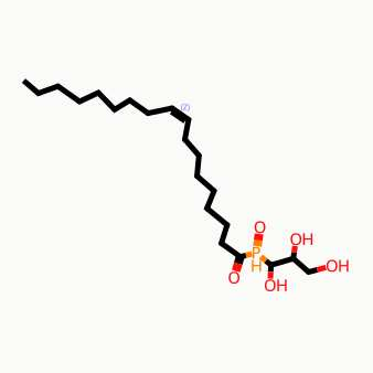 CCCCCCCC/C=C\CCCCCCCC(=O)[PH](=O)C(O)C(O)CO